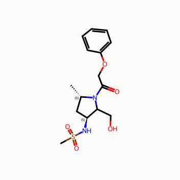 C[C@H]1C[C@H](NS(C)(=O)=O)C(CO)N1C(=O)COc1ccccc1